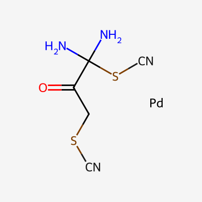 N#CSCC(=O)C(N)(N)SC#N.[Pd]